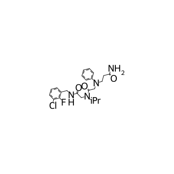 CC(C)N(CC(=O)NCc1cccc(Cl)c1F)C(=O)CN(CCC(N)=O)c1ccccc1